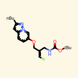 CCCCc1cc2ccc(OC/C(=C/F)CNC(=O)OC(C)(C)C)cn2n1